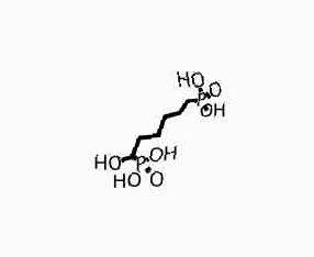 O=P(O)(O)CCCCCC(O)P(=O)(O)O